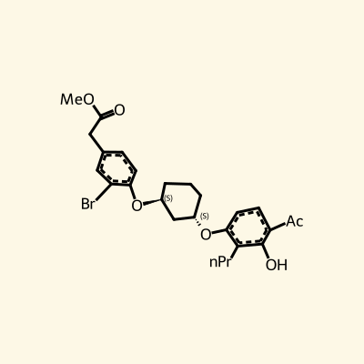 CCCc1c(O[C@H]2CCC[C@H](Oc3ccc(CC(=O)OC)cc3Br)C2)ccc(C(C)=O)c1O